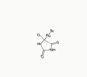 O=C1NC(=O)[C](Cl)([Au][Br])N1